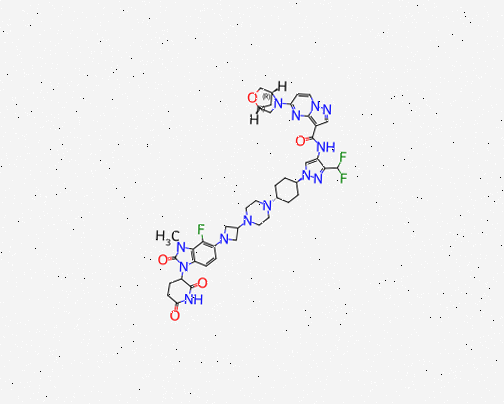 Cn1c(=O)n(C2CCC(=O)NC2=O)c2ccc(N3CC(N4CCN([C@H]5CC[C@H](n6cc(NC(=O)c7cnn8ccc(N9C[C@H]%10C[C@@H]9CO%10)nc78)c(C(F)F)n6)CC5)CC4)C3)c(F)c21